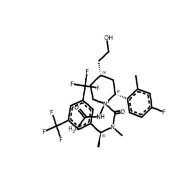 Cc1cc(F)ccc1[C@H]1C[C@@H](CCO)CC[N+]1(NC(N)=O)C(=O)N(C)[C@@H](C)c1cc(C(F)(F)F)cc(C(F)(F)F)c1